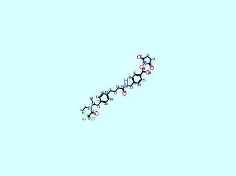 CCN(C(=O)C(F)(F)F)[C@@H](C)Cc1ccc(CCCC(=O)NCc2ccc(C(=O)ON3C(=O)CCC3=O)cc2)cc1